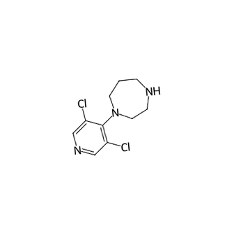 Clc1cncc(Cl)c1N1CCCNCC1